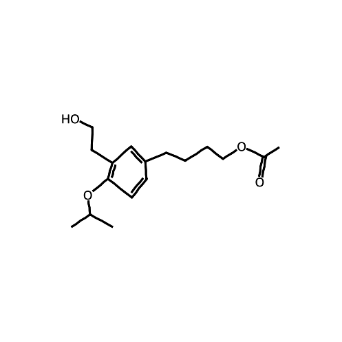 CC(=O)OCCCCc1ccc(OC(C)C)c(CCO)c1